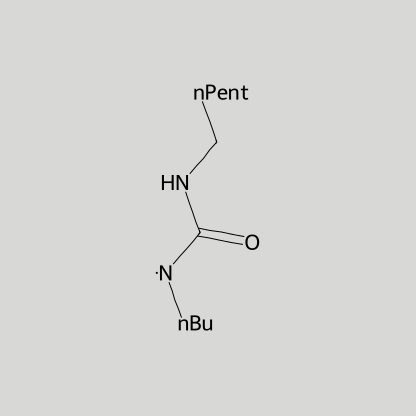 CCCCCCNC(=O)[N]CCCC